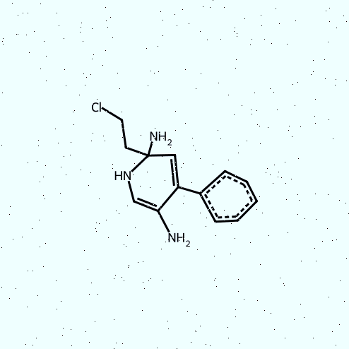 NC1=CNC(N)(CCCl)C=C1c1ccccc1